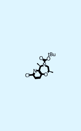 C[C@@H]1CN(C(=O)OC(C)(C)C)[C@H](C)c2nc(Cl)ccc2O1